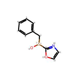 [O-][S+](Cc1ccccc1)c1ncco1